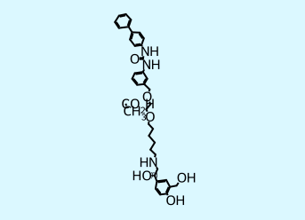 CC(=O)O.O=C(Nc1ccc(-c2ccccc2)cc1)Nc1cccc(COCCOCCCCCCNC[C@H](O)c2ccc(O)c(CO)c2)c1